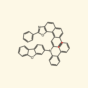 c1ccc(-c2nc3ccc4ccc5ccc(N(c6ccc7c(c6)oc6ccccc67)c6ccccc6-c6ccccc6)cc5c4c3o2)cc1